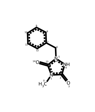 Cn1c(=O)[nH]n(Cc2ccccc2)c1=O